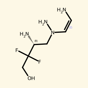 N/C=C\N(N)C[C@@H](N)C(F)(F)CO